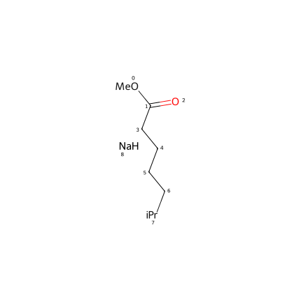 COC(=O)CCCCC(C)C.[NaH]